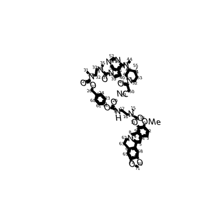 COc1ccc2cc3[n+](cc2c1OC(=O)N(C)CCNC(=O)Oc1ccc(COC(=O)N(C)CCN(C)C(=O)n2ccc4c(N(C)[C@H]5CN(C(=O)CC#N)CC[C@H]5C)ncnc42)cc1)CCc1cc2c(cc1-3)OCO2